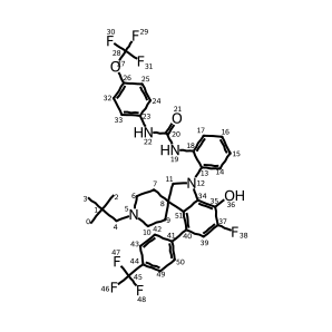 CC(C)(C)CN1CCC2(CC1)CN(c1ccccc1NC(=O)Nc1ccc(OC(F)(F)F)cc1)c1c(O)c(F)cc(-c3ccc(C(F)(F)F)cc3)c12